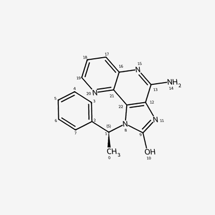 C[C@@H](c1ccccc1)n1c(O)nc2c(N)nc3cccnc3c21